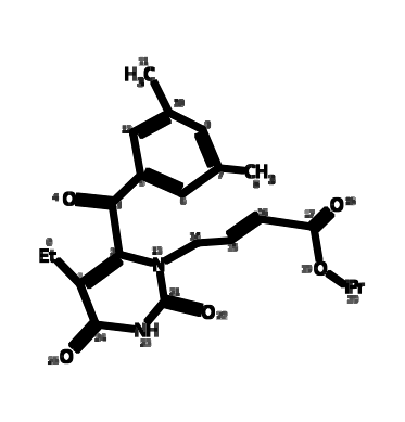 CCc1c(C(=O)c2cc(C)cc(C)c2)n(CC=CC(=O)OC(C)C)c(=O)[nH]c1=O